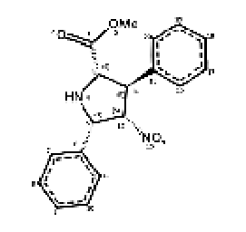 COC(=O)[C@H]1N[C@@H](c2ccccc2)[C@@H]([N+](=O)[O-])[C@@H]1c1ccccc1